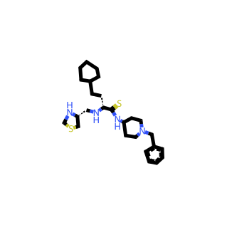 S=C(NC1CCN(Cc2ccccc2)CC1)[C@@H](CCC1CCCCC1)NC[C@@H]1CSCN1